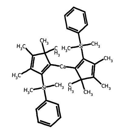 CC1=C(C)C(C)(C)[C]([Ca][C]2=C([Si](C)(C)c3ccccc3)C(C)=C(C)C2(C)C)=C1[Si](C)(C)c1ccccc1